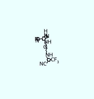 N#CCc1cc(CNCCCCOCCNc2cc(-c3ccnnc3)cc3[nH]ncc23)cc(C(F)(F)F)c1